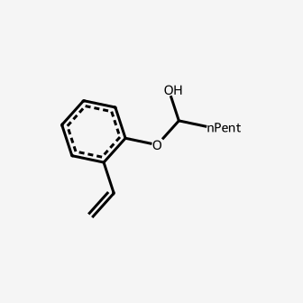 C=Cc1ccccc1OC(O)CCCCC